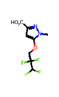 Cn1nc(C(=O)O)cc1OCC(F)(F)C(F)F